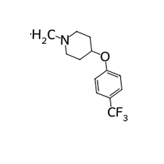 [CH2]N1CCC(Oc2ccc(C(F)(F)F)cc2)CC1